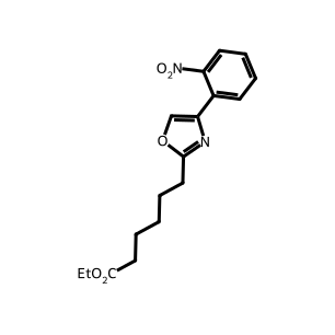 CCOC(=O)CCCCCc1nc(-c2ccccc2[N+](=O)[O-])co1